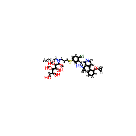 CC(=O)NCN(CCCSc1ccc(Cl)c(CNC2(c3cnccc3-c3ccccc3OC3CC3)CC2)c1)C(=O)[C@@H](O)[C@@H](O)[C@H](O)[C@@H](O)CO